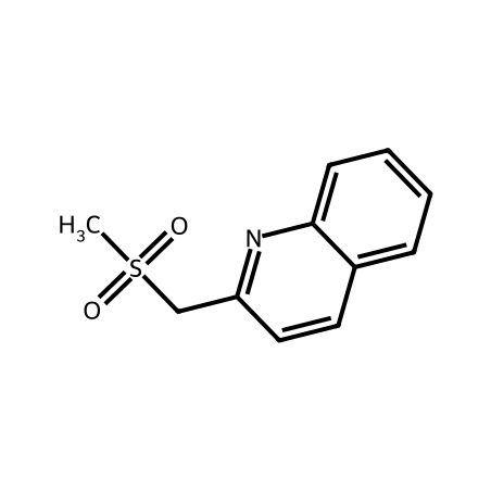 CS(=O)(=O)Cc1ccc2ccccc2n1